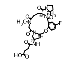 CN1CC(=O)N2C[C@@H](NC(=O)CCC(=O)O)C[C@H]2COc2ccc(F)cc2C(=O)N(C)[C@@H](C(=O)N2CCCC2)CCC1=O